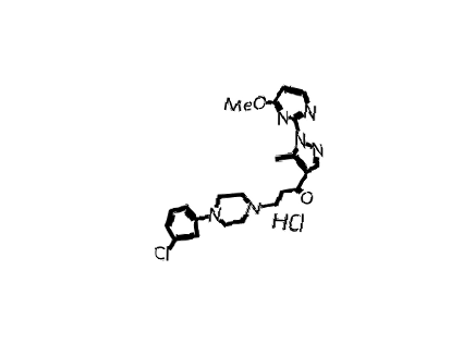 COc1ccnc(-n2ncc(C(=O)CCN3CCN(c4cccc(Cl)c4)CC3)c2C)n1.Cl